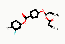 C=CC(=O)OC(C=C)Oc1ccc(C(=O)Oc2ccc(C#N)c(F)c2)cc1